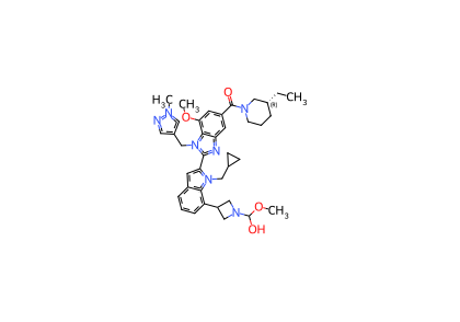 CC[C@@H]1CCCN(C(=O)c2cc(OC)c3c(c2)nc(-c2cc4cccc(C5CN(C(O)OC)C5)c4n2CC2CC2)n3Cc2cnn(C)c2)C1